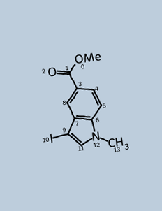 COC(=O)c1ccc2c(c1)c(I)cn2C